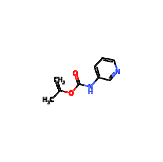 C=C(C)OC(=O)Nc1cccnc1